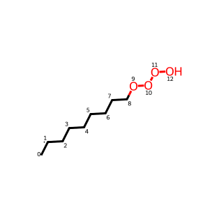 C[CH]CCCCCCCOOOO